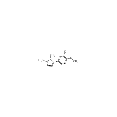 COc1ccc(C2=C=CN(C)N2C)cc1Cl